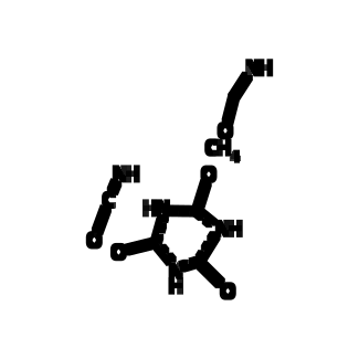 C.N=C=O.N=C=O.O=c1[nH]c(=O)[nH]c(=O)[nH]1